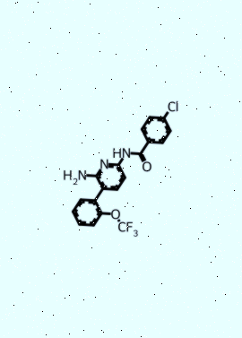 Nc1nc(NC(=O)c2ccc(Cl)cc2)ccc1-c1ccccc1OC(F)(F)F